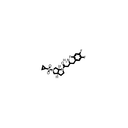 NC(CC(=O)N1CC[C@H]2CN(S(=O)(=O)C3CC3)C[C@H]21)Cc1cc(F)c(F)cc1F